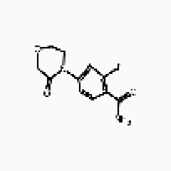 NC(=O)c1ccc(N2CCOCC2=O)cc1F